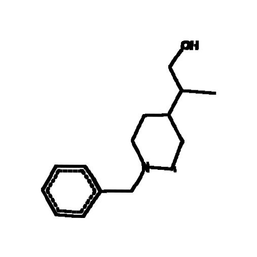 CC(CO)C1C[C]N(Cc2ccccc2)CC1